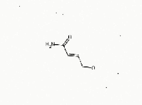 NC(=O)C=CC[O]